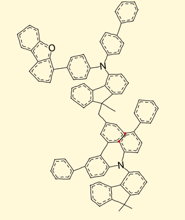 CC1(C)c2ccccc2-c2c(N(c3ccc(-c4ccccc4)cc3)c3ccc(-c4ccccc4)cc3-c3cccc(CC4(C)c5ccccc5-c5c(N(c6ccc(-c7ccccc7)cc6)c6ccc(-c7cccc8c7oc7ccccc78)cc6)cccc54)c3)cccc21